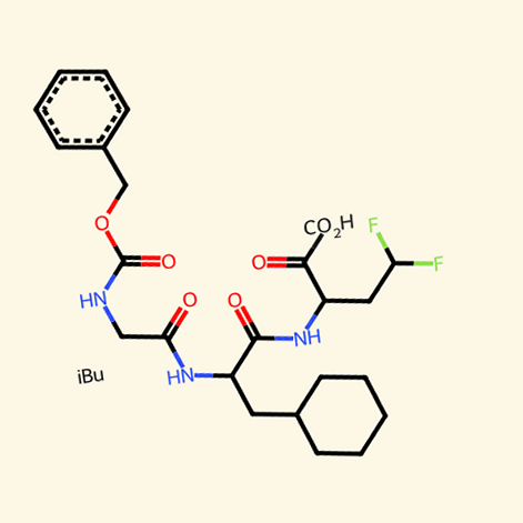 CC[C@H](C)C(NC(=O)OCc1ccccc1)C(=O)NC(CC1CCCCC1)C(=O)NC(CC(F)F)C(=O)C(=O)O